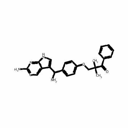 CC(C)(COc1ccc(C(N)c2c[nH]c3nc(N)ncc23)cc1)C(=O)c1ccccc1